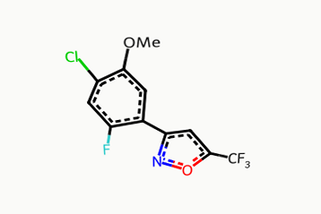 COc1cc(-c2cc(C(F)(F)F)on2)c(F)cc1Cl